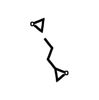 C1CO1.CCCC1CO1